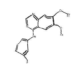 CCOc1cc2ncnc(Nc3cccc(F)c3)c2cc1OCC